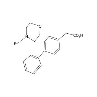 CCN1CCOCC1.O=C(O)Cc1ccc(-c2ccccc2)cc1